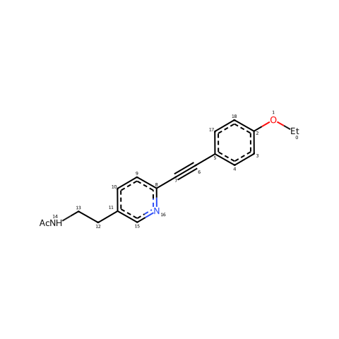 CCOc1ccc(C#Cc2ccc(CCNC(C)=O)cn2)cc1